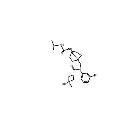 CC(C)NC(=O)NC12CCC(CN(c3cccc(Br)c3)C(=O)[C@H]3C[C@@](C)(O)C3)(CC1)CC2